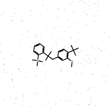 COc1cc(CC(C)(C)c2ccccc2S(C)(C)C)ccc1C(C)(C)C